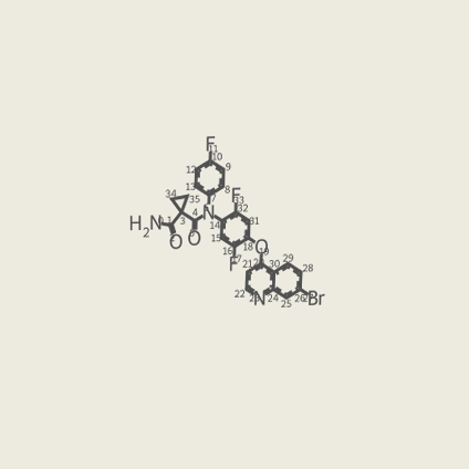 NC(=O)C1(C(=O)N(c2ccc(F)cc2)c2cc(F)c(Oc3ccnc4cc(Br)ccc34)cc2F)CC1